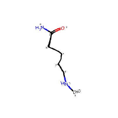 NC(=O)C[CH]CCNC=O